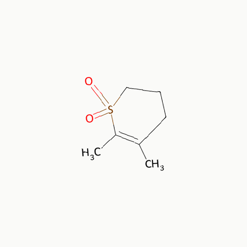 CC1=C(C)S(=O)(=O)CCC1